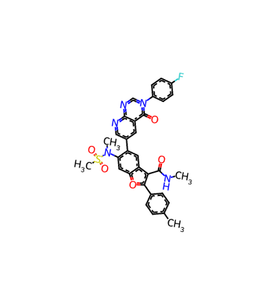 CNC(=O)c1c(-c2ccc(C)cc2)oc2cc(N(C)S(C)(=O)=O)c(-c3cnc4ncn(-c5ccc(F)cc5)c(=O)c4c3)cc12